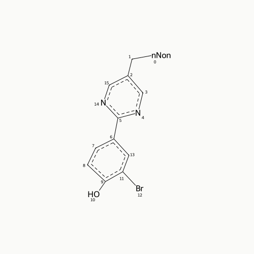 CCCCCCCCCCc1cnc(-c2ccc(O)c(Br)c2)nc1